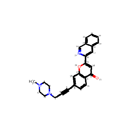 CN1CCN(CC#Cc2ccc3c(=O)cc(-c4cc5ccccc5cn4)oc3c2)CC1